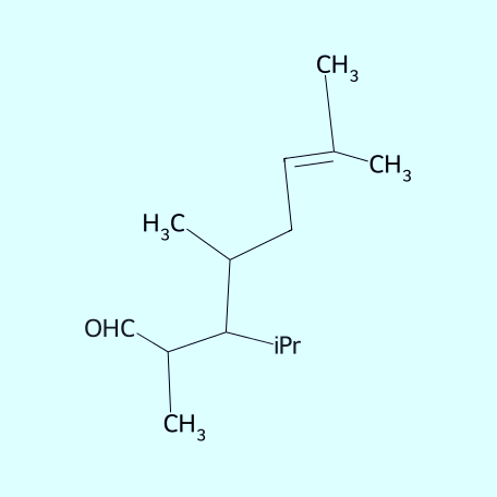 CC(C)=CCC(C)C(C(C)C)C(C)C=O